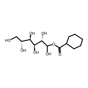 O=C(OC(O)[C@@H](O)[C@@H](O)[C@H](O)[C@H](O)CO)C1CCCCC1